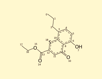 CCCc1ccc(O)c2c(=O)cc(C(=O)OCC)sc12